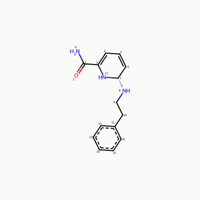 NC(=O)C1=[C]C=C[C@H](NCCc2ccccc2)N1